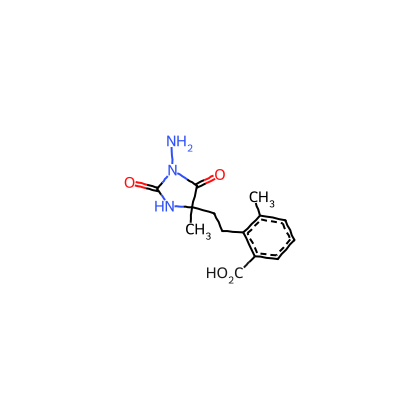 Cc1cccc(C(=O)O)c1CCC1(C)NC(=O)N(N)C1=O